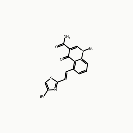 CCn1cc(C(N)=O)c(=O)c2c(C=Cc3nc(C(C)C)cs3)cccc21